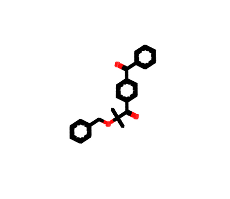 CC(C)(OCc1ccccc1)C(=O)c1ccc(C(=O)c2ccccc2)cc1